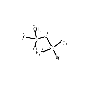 C[Si](C)(C)O[Si](C)(C)Br